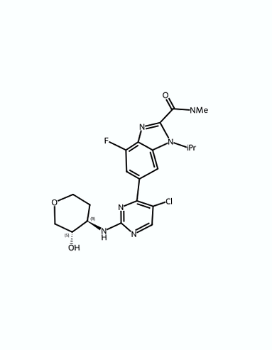 CNC(=O)c1nc2c(F)cc(-c3nc(N[C@@H]4CCOC[C@H]4O)ncc3Cl)cc2n1C(C)C